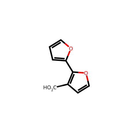 O=C(O)c1ccoc1-c1ccco1